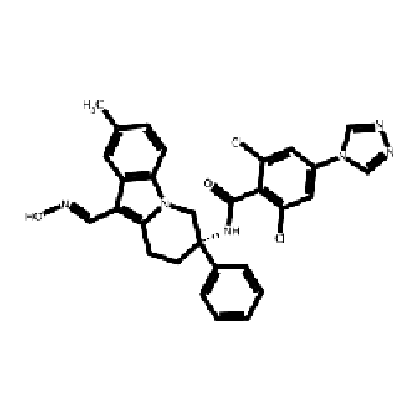 Cc1ccc2c(c1)c(C=NO)c1n2C[C@@](NC(=O)c2c(Cl)cc(-n3cnnc3)cc2Cl)(c2ccccc2)CC1